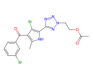 CC(=O)OCCn1nnc(-c2[nH]c(C)c(C(=O)c3cccc(Br)c3)c2Br)n1